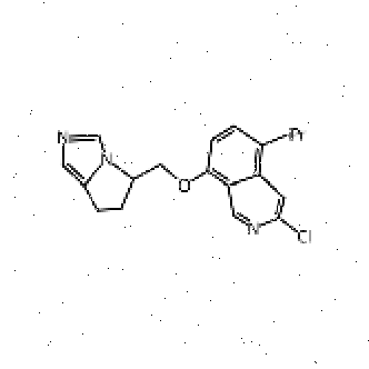 CC(C)c1ccc(OCC2CCc3cncn32)c2cnc(Cl)cc12